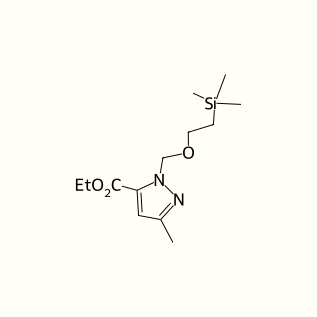 CCOC(=O)c1cc(C)nn1COCC[Si](C)(C)C